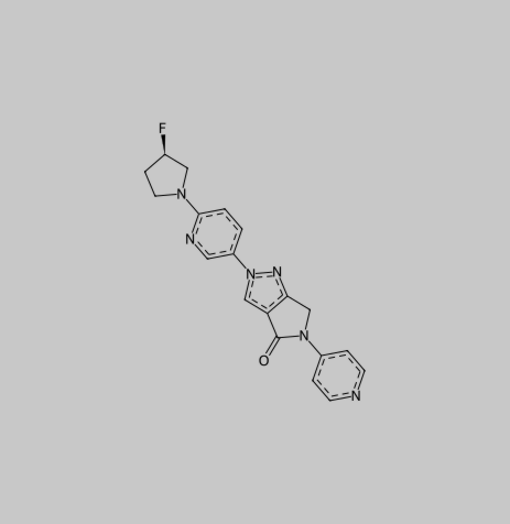 O=C1c2cn(-c3ccc(N4CC[C@@H](F)C4)nc3)nc2CN1c1ccncc1